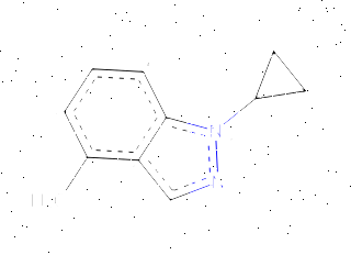 Cc1cccc2c1cnn2C1CC1